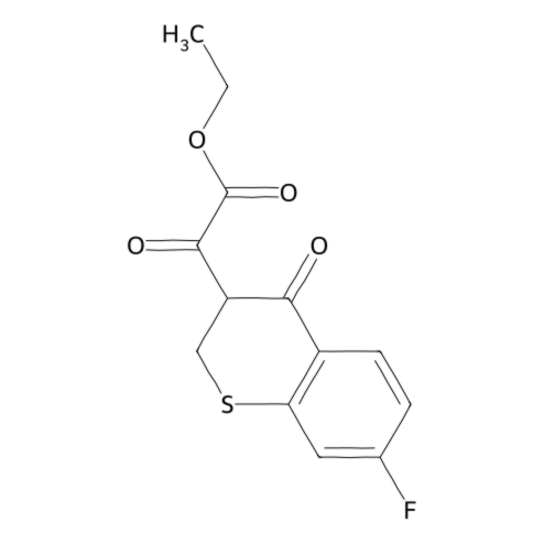 CCOC(=O)C(=O)C1CSc2cc(F)ccc2C1=O